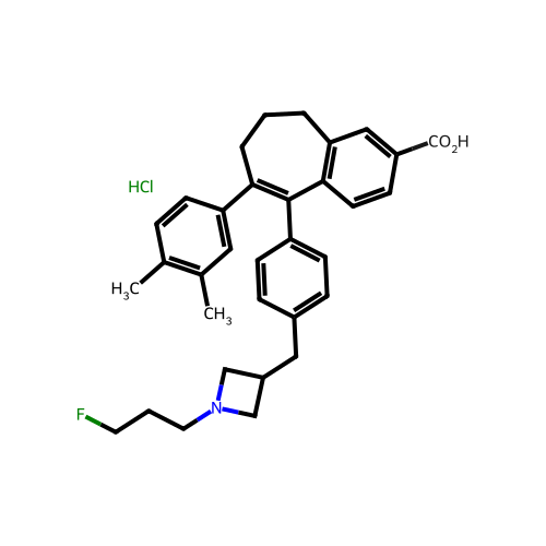 Cc1ccc(C2=C(c3ccc(CC4CN(CCCF)C4)cc3)c3ccc(C(=O)O)cc3CCC2)cc1C.Cl